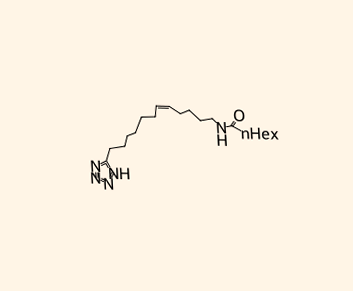 CCCCCCC(=O)NCCCC/C=C\CCCCCCc1nnn[nH]1